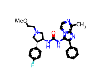 COCCN1C[C@@H](NC(=O)Nc2c(-c3ccccc3)nc3c(C)nccn23)[C@H](c2ccc(F)cc2)C1